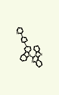 c1ccc(-c2ccc(-c3ccc4c(c3)c3ccccc3n4-c3nc4ccccc4c4nc5ccccc5n34)cc2)nc1